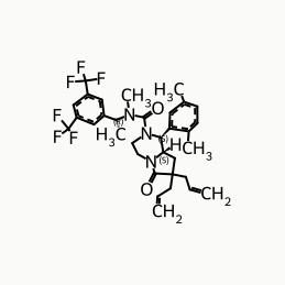 C=CCC1(CC=C)C[C@H]2[C@H](c3cc(C)ccc3C)N(C(=O)N(C)[C@H](C)c3cc(C(F)(F)F)cc(C(F)(F)F)c3)CCN2C1=O